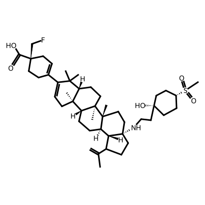 C=C(C)C1CC[C@]2(NCC[C@]3(O)CC[C@@H](S(C)(=O)=O)CC3)CC[C@]3(C)[C@H](CC[C@@H]4[C@@]5(C)CC=C(C6=CC[C@@](CF)(C(=O)O)CC6)C(C)(C)[C@@H]5CC[C@]43C)[C@@H]12